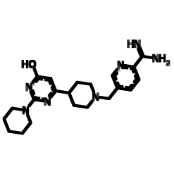 N=C(N)c1ccc(CN2CCC(c3cc(O)nc(N4CCCCC4)n3)CC2)cn1